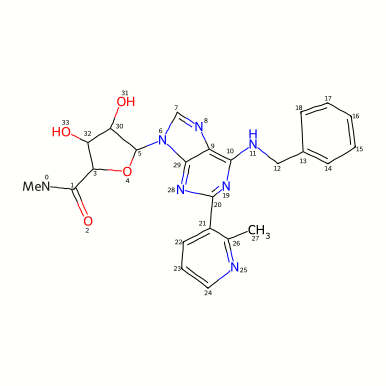 CNC(=O)C1OC(n2cnc3c(NCc4ccccc4)nc(-c4cccnc4C)nc32)C(O)C1O